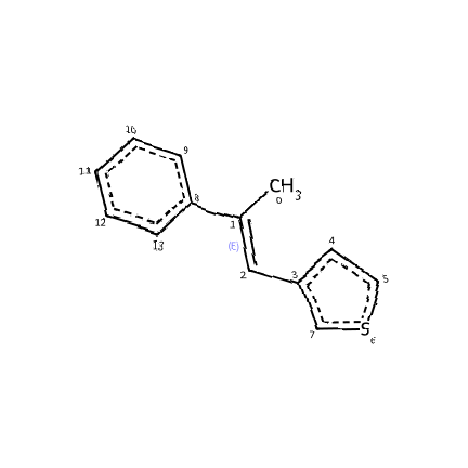 C/C(=C\c1ccsc1)c1ccccc1